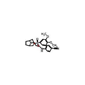 COc1ccc(S(=O)(=O)N2CC3CCC(C2)N3CCCNc2ccc(C#N)cc2)cc1OC